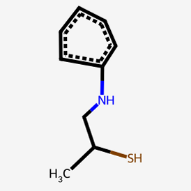 CC(S)CNc1ccccc1